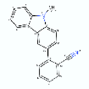 Cn1c2ccccc2c2cc(-c3ccccc3C#N)ccc21